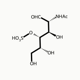 CC(=O)N[C@@H](C=O)[C@@H](O)[C@@H](OS(=O)(=O)O)[C@H](O)CO